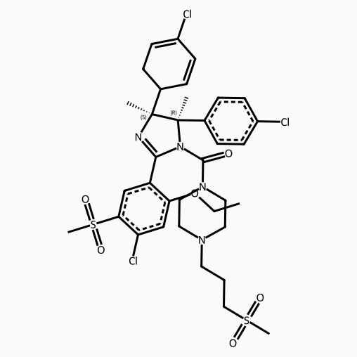 CCOc1cc(Cl)c(S(C)(=O)=O)cc1C1=N[C@@](C)(C2C=CC(Cl)=CC2)[C@@](C)(c2ccc(Cl)cc2)N1C(=O)N1CCN(CCCS(C)(=O)=O)CC1